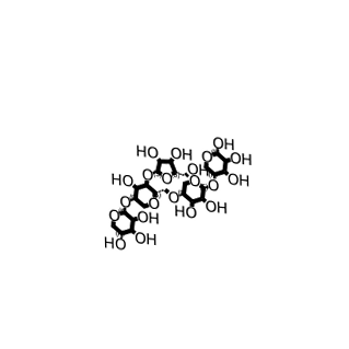 OC[C@@H]1O[C@@H](OC2C(O)[C@H](O[C@@H]3OC[C@@H](O)C(O)C3O)CO[C@H]2CO[C@@H]2CO[C@@H](O[C@@H]3CO[C@@H](O)C(O)C3O)C(O)C2O)C(O)C1O